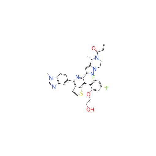 C=CC(=O)N1CCn2nc(-c3nc(-c4ccc5c(c4)ncn5C)c4ccsc4c3-c3c(F)cc(F)cc3OCCO)cc2[C@@H]1C